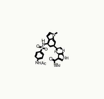 CC(=O)Nc1ccc(S(=O)(=O)Nc2cc(-c3cnc4[nH]cc(C(=O)C(C)(C)C)c4n3)cc3c2ccn3C)cc1